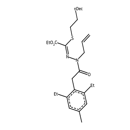 C=CCN(N=C(SCCCCCCCCCCCC)C(=O)OCC)C(=O)Cc1c(CC)cc(C)cc1CC